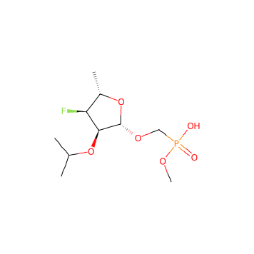 COP(=O)(O)CO[C@H]1O[C@@H](C)[C@H](F)[C@@H]1OC(C)C